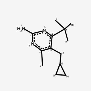 Cc1nc(N)nc(C(C)(C)C)c1CC1CC1